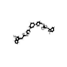 O=C(Cc1c[nH]c2ccccc12)Nc1ccc([C@@H]2CCC[C@H](c3ccc(NC(=O)Cc4c[nH]c5ccccc45)nn3)C2)nn1